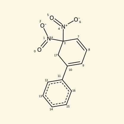 O=[N+]([O-])C1([N+](=O)[O-])C=CC=C(c2ccccc2)C1